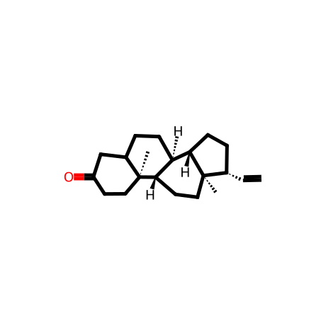 C=C[C@H]1CC[C@H]2[C@@H]3CCC4CC(=O)CC[C@]4(C)[C@H]3CC[C@]12C